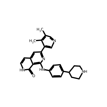 Cc1cncc(-c2cc3cc[nH]c(=O)c3c(Nc3ccc(C4CCNCC4)cc3)n2)c1C